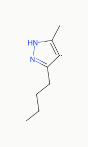 CCCCc1[c]c(C)[nH]n1